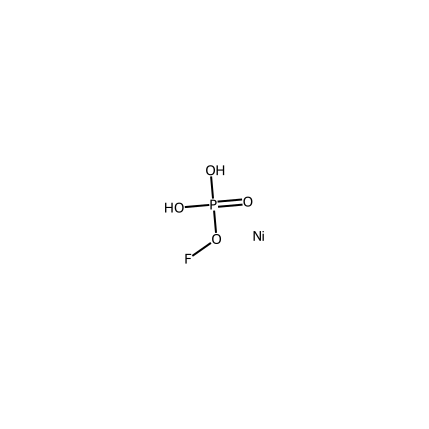 O=P(O)(O)OF.[Ni]